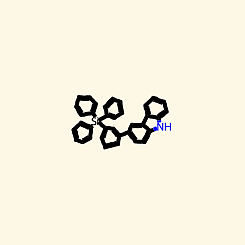 c1ccc([Si](c2ccccc2)(c2ccccc2)c2cccc(-c3ccc4[nH]c5ccccc5c4c3)c2)cc1